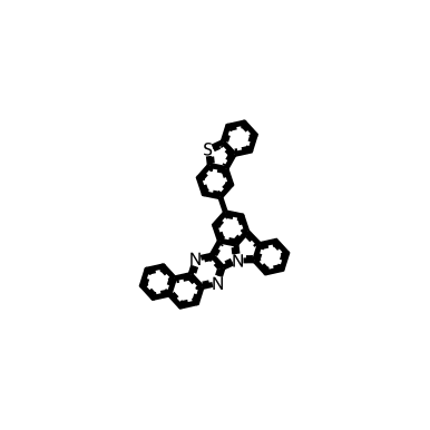 c1ccc2c(c1)ccc1nc3c(nc12)c1cc(-c2ccc4sc5ccccc5c4c2)cc2c4ccccc4n3c21